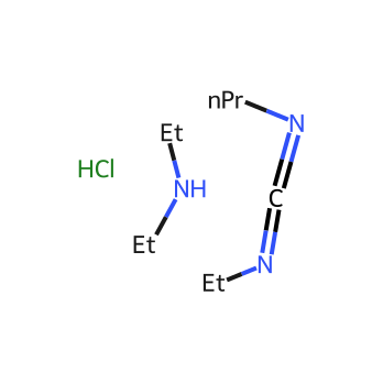 CCCN=C=NCC.CCNCC.Cl